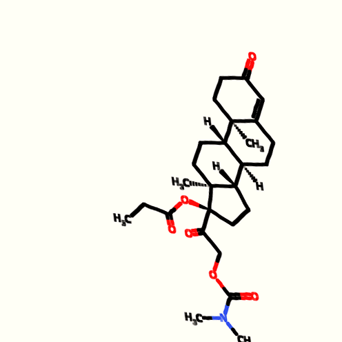 CCC(=O)O[C@]1(C(=O)COC(=O)N(C)C)CC[C@H]2[C@@H]3CCC4=CC(=O)CC[C@]4(C)[C@H]3CC[C@@]21C